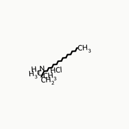 C=CC(C)(C)C(N)CCCCCCCCCCCCCCC.Cl